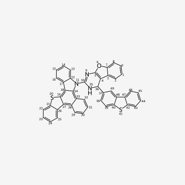 c1ccc2c3c(oc2c1)N=C(n1c2ccccc2c2c4sc5ccccc5c4c4ccccc4c21)NC3c1ccc2sc3ccccc3c2c1